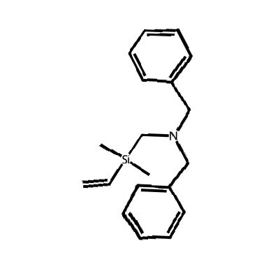 C=C[Si](C)(C)CN(Cc1ccccc1)Cc1ccccc1